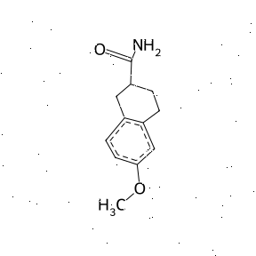 COc1ccc2c(c1)CCC(C(N)=O)C2